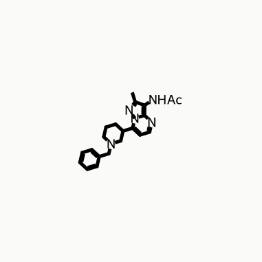 CC(=O)Nc1c(C)nn2c(C3CCCN(Cc4ccccc4)C3)ccnc12